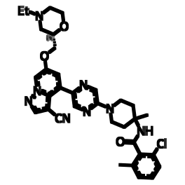 CCN1CCO[C@H](COc2cc(-c3cnc(N4CCC(C)(NC(=O)c5c(C)cccc5Cl)CC4)cn3)c3c(C#N)cnn3c2)C1